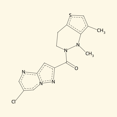 Cc1csc2c1N(C)N(C(=O)c1cc3ncc(Cl)cn3n1)CC2